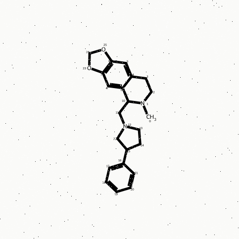 CN1CCc2cc3c(cc2C1CN1CCC(c2ccccc2)C1)OCO3